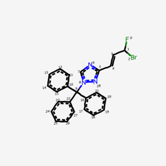 FC(Br)/C=C/c1ncn(C(c2ccccc2)(c2ccccc2)c2ccccc2)n1